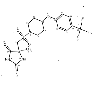 C[C@]1(CS(=O)(=O)N2CCC(Oc3ccc(C(F)(F)F)cc3)CC2)NC(=O)NC1=O